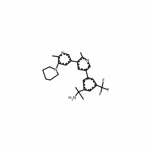 Cc1ncc(-c2cc(C(C)(C)N)cc(C(F)(F)F)c2)cc1-c1cnc(C)c(N2CCCCC2)c1